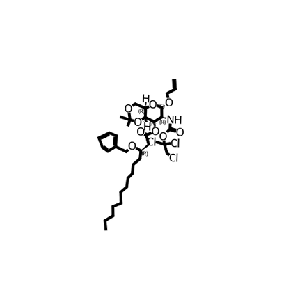 C=CCO[C@H]1O[C@@H]2COC(C)(C)O[C@H]2[C@H](OC(=O)C[C@@H](CCCCCCCCCCC)OCc2ccccc2)[C@H]1NC(=O)OC(Cl)(Cl)CCl